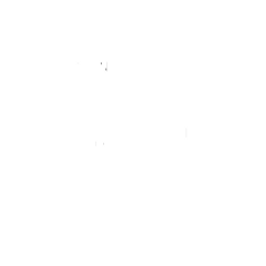 Fc1cccc(Oc2[c]onc2)c1F